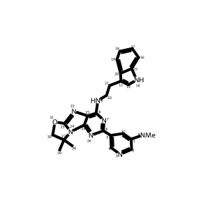 CNc1cncc(-c2nc(NCCc3c[nH]c4ccccc34)c3nc4n(c3n2)C(C)(C)CO4)c1